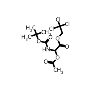 CC(=O)OC(NC(=O)OC(C)(C)C)C(=O)OCC(Cl)(Cl)Cl